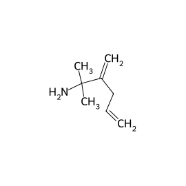 C=CCC(=C)C(C)(C)N